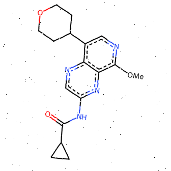 COc1ncc(C2CCOCC2)c2ncc(NC(=O)C3CC3)nc12